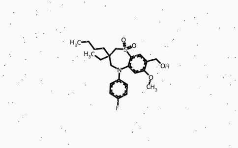 CCCCC1(CC)CN(c2ccc(F)cc2)c2cc(OC)c(CO)cc2S(=O)(=O)C1